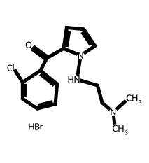 Br.CN(C)CCNn1cccc1C(=O)c1ccccc1Cl